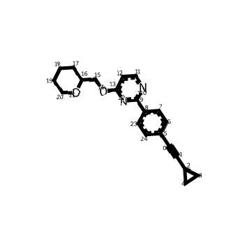 C(#CC1CC1)c1ccc(-c2nccc(OCC3CCCCO3)n2)cc1